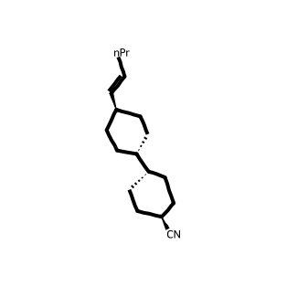 CCCC=C[C@H]1CC[C@H]([C@H]2CC[C@H](C#N)CC2)CC1